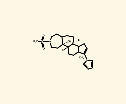 C[C@]12CCN(S(C)(=O)=O)CCC1CC[C@H]1C3CC=C(n4ccnc4)[C@@]3(C)CC[C@@H]12